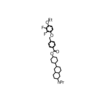 CCCC1CCC2CC(C3CCC(OC(=O)c4ccc(COc5ccc(OCC)c(F)c5F)cc4)CC3)CCC2C1